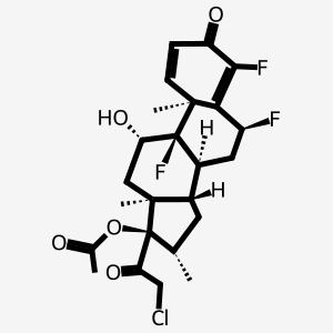 CC(=O)O[C@]1(C(=O)CCl)[C@@H](C)C[C@H]2[C@@H]3C[C@H](F)C4=C(F)C(=O)C=C[C@]4(C)[C@@]3(F)[C@@H](O)C[C@@]21C